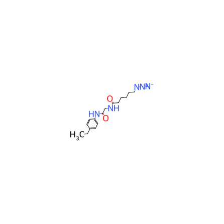 CCc1ccc(NC(=O)CNC(=O)CCCCCN=[N+]=[N-])cc1